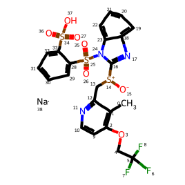 Cc1c(OCC(F)(F)F)ccnc1C[S+]([O-])c1nc2ccccc2n1S(=O)(=O)c1ccccc1S(=O)(=O)O.[Na]